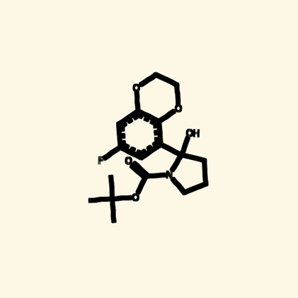 CC(C)(C)OC(=O)N1CCCC1(O)c1cc(F)cc2c1OCCO2